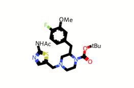 COc1cc(CC2CN(Cc3cnc(NC(C)=O)s3)CCN2C(=O)OC(C)(C)C)ccc1F